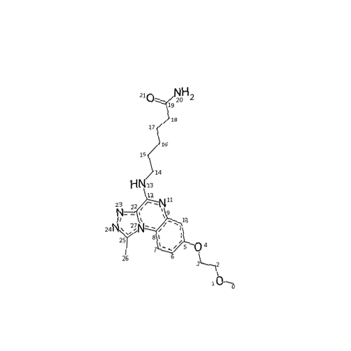 COCCOc1ccc2c(c1)nc(NCCCCCC(N)=O)c1nnc(C)n12